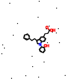 O=C(O)CCc1ccc2c(c1)c(CCc1ccccc1)cn2-c1ccccc1O